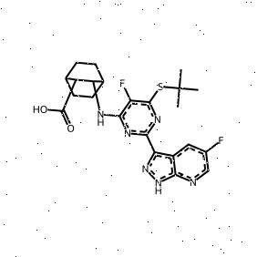 CC(C)(C)Sc1nc(-c2n[nH]c3ncc(F)cc23)nc(NC2C3CCC(CC3)C2C(=O)O)c1F